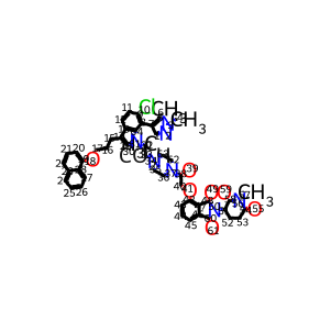 Cc1nn(C)c(C)c1-c1c(Cl)ccc2c(CCCOc3cccc4ccccc34)c(C(=O)O)n(CCN3CCN(C(=O)COc4cccc5c4C(=O)N(C4CCC(=O)N(C)C4=O)C5=O)CC3)c12